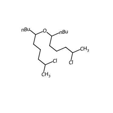 CCCCC(CCCC(C)Cl)OC(CCCC)CCCC(C)Cl